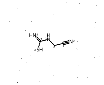 N#CCNC(=N)S